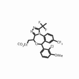 CCOC(=O)CC1OC(c2cccc(OC)c2Cl)c2cc(C(F)(F)F)ccc2-n2c1nnc2C(C)(F)F